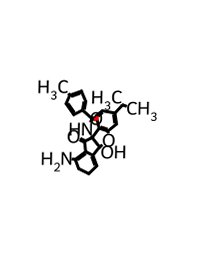 Cc1ccc(C(=O)NC23C(=O)C4=C(N)CCC=C4C2(O)Oc2cc(C(C)C)ccc23)cc1